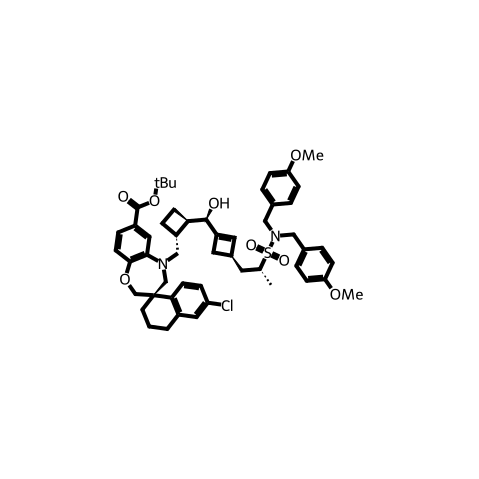 COc1ccc(CN(Cc2ccc(OC)cc2)S(=O)(=O)[C@H](C)C[C@@H]2C=C([C@H](O)[C@@H]3CC[C@H]3CN3C[C@@]4(CCCc5cc(Cl)ccc54)COc4ccc(C(=O)OC(C)(C)C)cc43)C2)cc1